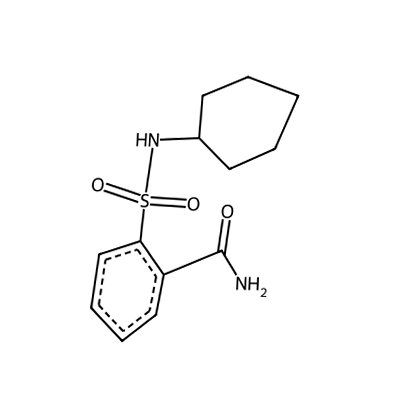 NC(=O)c1ccccc1S(=O)(=O)NC1CCCCC1